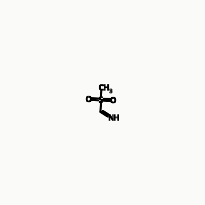 CS(=O)(=O)C=N